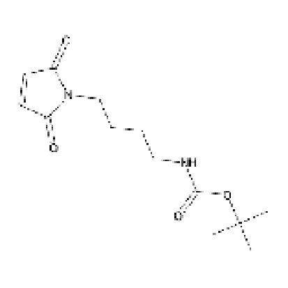 CC(C)(C)OC(=O)NCCCCN1C(=O)C=CC1=O